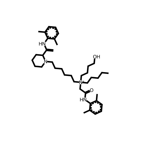 C=C(Nc1c(C)cccc1C)C1CCCCN1CCCCCC[N+](CCCCC)(CCCCO)CC(=O)Nc1c(C)cccc1C